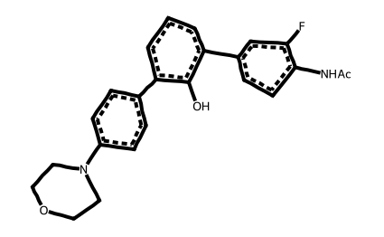 CC(=O)Nc1ccc(-c2cccc(-c3ccc(N4CCOCC4)cc3)c2O)cc1F